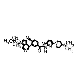 CN(C)C1CCN(c2ccc3nc(C(=O)c4ccc(C#N)c(-c5cncc6c5ccn6C(=O)OC(C)(C)C)c4)[nH]c3n2)CC1